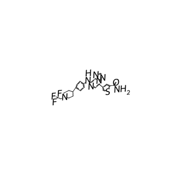 NC(=O)c1cc(-c2cnc(Nc3ccc(C4CCN(CC(F)(F)F)CC4)cc3)c3ncnn23)cs1